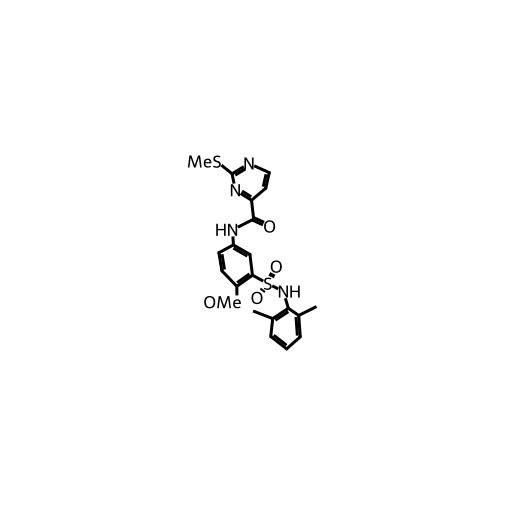 COc1ccc(NC(=O)c2ccnc(SC)n2)cc1S(=O)(=O)Nc1c(C)cccc1C